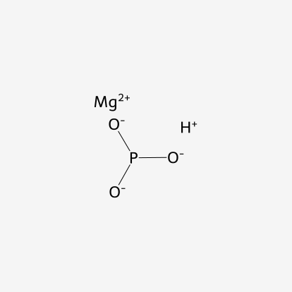 [H+].[Mg+2].[O-]P([O-])[O-]